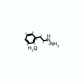 NNCCc1ccccc1.O